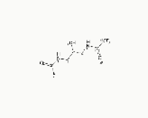 O=C(F)NCC(O)CNC(=O)C(F)(F)F